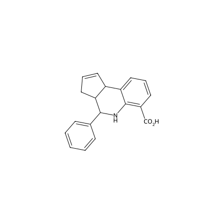 O=C(O)c1cccc2c1NC(c1ccccc1)C1CC=CC21